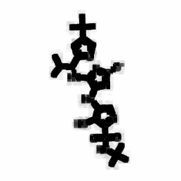 CC(C)[C@@H](Nc1n[s+]([O-])nc1Nc1csc(S(=O)(=O)NC(C)(C)C)c1O)c1cc(C(C)(C)C)co1